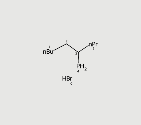 Br.CCCCCC(P)CCC